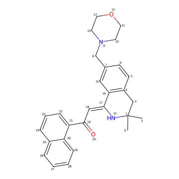 CC1(C)Cc2ccc(CN3CCOCC3)cc2/C(=C/C(=O)c2cccc3ccccc23)N1